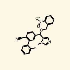 Cc1ccccc1-c1cc(C(OCc2ccccc2[N+](=O)[O-])c2cncn2C)ccc1C#N